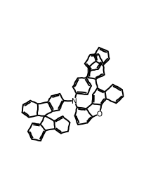 C1=CC2c3ccc(N(c4ccc(-c5ccccc5)cc4)c4cccc5oc6c7ccccc7c(-c7ccc8ccccc8c7)cc6c45)cc3C3(C4=CCCC=C4c4ccccc43)C2C=C1